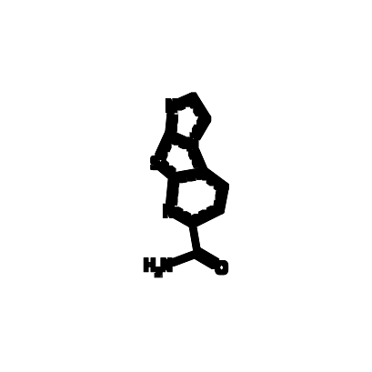 NC(=O)c1ccc2c(n1)sc1nccn12